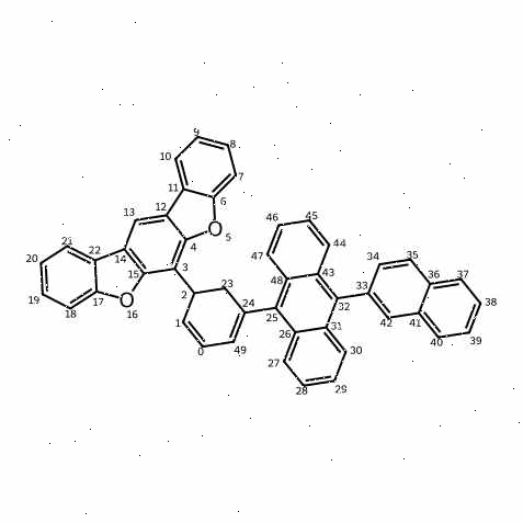 C1=CC(c2c3oc4ccccc4c3cc3c2oc2ccccc23)CC(c2c3ccccc3c(-c3ccc4ccccc4c3)c3ccccc23)=C1